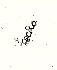 CS(=O)(=O)OC1CCN(C(=O)CC2CCCCC2)CC1